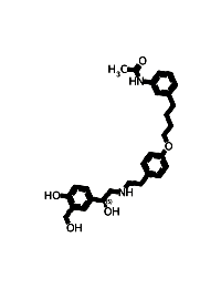 CC(=O)Nc1cccc(CCCCOc2ccc(CCNC[C@@H](O)c3ccc(O)c(CO)c3)cc2)c1